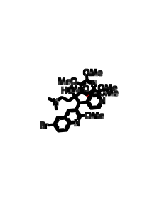 COc1cc(C(O)(CCN(C)C)C(c2cc3cc(Br)ccc3nc2OC)c2ccnc(OC)c2OC)c(OC)c(OC)n1